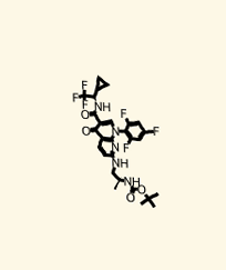 C[C@@H](CNc1ccc2c(=O)c(C(=O)N[C@@H](C3CC3)C(F)(F)F)cn(-c3c(F)cc(F)cc3F)c2n1)NC(=O)OC(C)(C)C